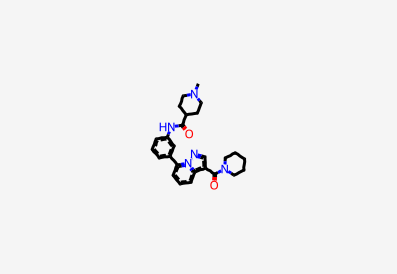 CN1CCC(C(=O)Nc2cccc(-c3cccc4c(C(=O)N5CCCCC5)cnn34)c2)CC1